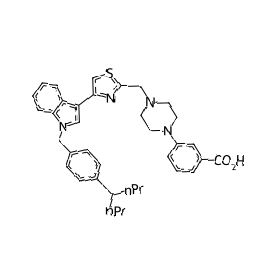 CCCC(CCC)c1ccc(Cn2cc(-c3csc(CN4CCN(c5cccc(C(=O)O)c5)CC4)n3)c3ccccc32)cc1